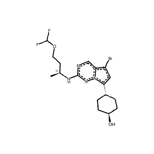 C[C@@H](CCOC(F)F)Nc1ncc2c(Br)cc([C@H]3CC[C@H](O)CC3)n2n1